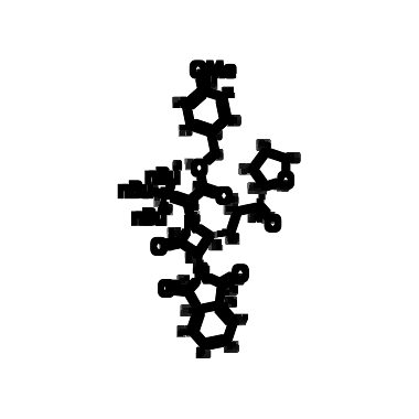 CCCCP(CCCC)(CCCC)=C(C(=O)OCc1ccc(OC)cc1)N1C(=O)[C@@H](N2C(=O)c3ccccc3C2=O)[C@H]1CCC(=O)[C@@H]1CCCO1